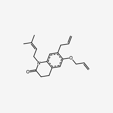 C=CCOc1cc2c(cc1CC=C)N(CC=C(C)C)C(=O)CC2